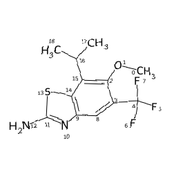 COc1c(C(F)(F)F)cc2nc(N)sc2c1C(C)C